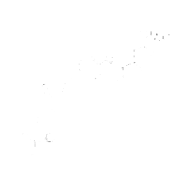 C=CC(=O)Oc1ccc(C(=O)/C=C/c2ccc(OC(=O)C(=C)CC(=O)OC)cc2)cc1